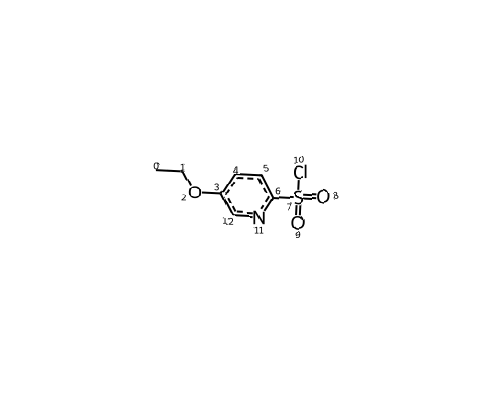 CCOc1ccc(S(=O)(=O)Cl)nc1